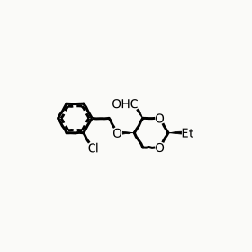 CC[C@H]1OC[C@@H](OCc2ccccc2Cl)[C@@H](C=O)O1